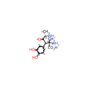 C[C@H](N)C(=O)C(c1ccc(O)c(O)c1)[C@](C)(N)C(=O)O